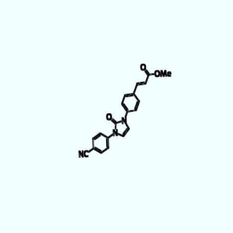 COC(=O)/C=C/c1ccc(-n2ccn(-c3ccc(C#N)cc3)c2=O)cc1